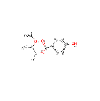 CCCCCCCCOC(CCC)C(C)OC(=O)c1ccc(O)cc1